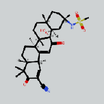 CC1(C)C(=O)C(C#N)=C[C@]2(C)C3=CC(=O)[C@]4(O)[C@@H]5C[C@@](C)(NS(C)(=O)=O)CC[C@@]5(C)CC[C@@]4(C)[C@]3(C)CC[C@@H]12